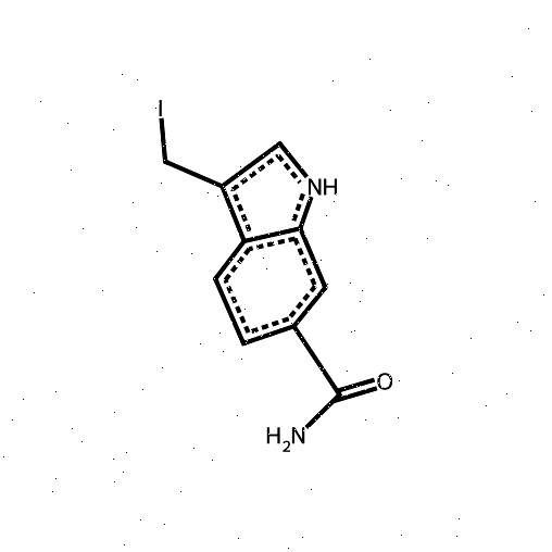 NC(=O)c1ccc2c(CI)c[nH]c2c1